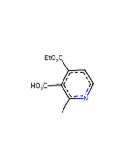 CCOC(=O)c1ccnc(C)c1C(=O)O